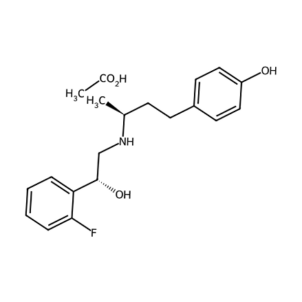 CC(=O)O.C[C@@H](CCc1ccc(O)cc1)NC[C@H](O)c1ccccc1F